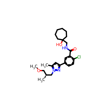 COC[C@H](C)Cn1nc(-c2ccc(Cl)c(C(=O)NCC3(O)CCCCCC3)c2)cc1C